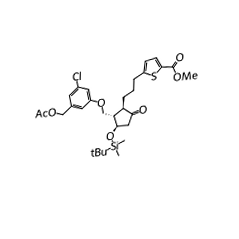 COC(=O)c1ccc(CCC[C@H]2C(=O)C[C@@H](O[Si](C)(C)C(C)(C)C)[C@@H]2COc2cc(Cl)cc(COC(C)=O)c2)s1